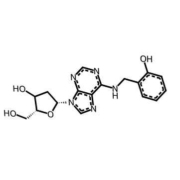 OC[C@H]1O[C@@H](n2cnc3c(NCc4ccccc4O)ncnc32)CC1O